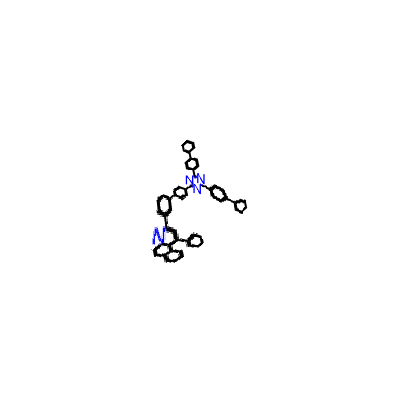 c1ccc(-c2ccc(-c3nc(-c4ccc(-c5ccccc5)cc4)nc(-c4ccc(-c5cccc(-c6cc(-c7ccccc7)c7c(ccc8ccccc87)n6)c5)cc4)n3)cc2)cc1